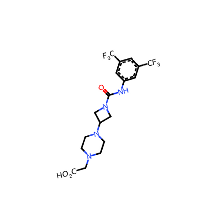 O=C(O)CN1CCN(C2CN(C(=O)Nc3cc(C(F)(F)F)cc(C(F)(F)F)c3)C2)CC1